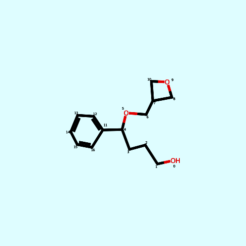 OCCCC(OCC1COC1)c1ccccc1